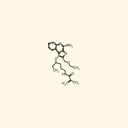 C=C(C)C(=O)NCCCC(CC)On1c(COCC)nc2c(N)nc3ccccc3c21